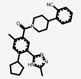 Cc1nnc(-c2cc(C(=O)N3CCC(c4ccccc4C#N)CC3)c(C)cc2C2CCCC2)[nH]1